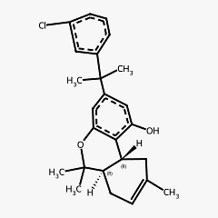 CC1=CC[C@@H]2[C@@H](C1)c1c(O)cc(C(C)(C)c3cccc(Cl)c3)cc1OC2(C)C